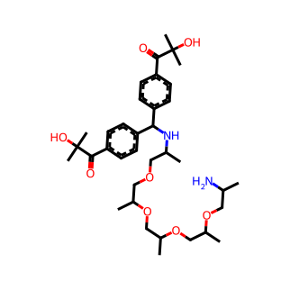 CC(N)COC(C)COC(C)COC(C)COCC(C)NC(c1ccc(C(=O)C(C)(C)O)cc1)c1ccc(C(=O)C(C)(C)O)cc1